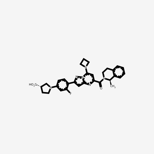 C[C@@H]1c2ccccc2CCN1C(=O)c1cc(N2CCC2)n2nc(-c3ccc(N4CC[C@H](C(=O)O)C4)cc3F)cc2n1